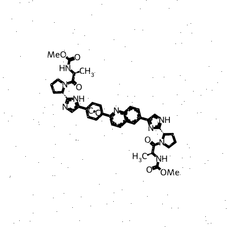 COC(=O)N[C@@H](C)C(=O)N1CCC[C@H]1c1nc(-c2ccc3nc(C45CCC(c6cnc([C@@H]7CCCN7C(=O)[C@H](C)NC(=O)OC)[nH]6)(CC4)CC5)ccc3c2)c[nH]1